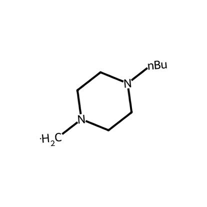 [CH2]N1CCN(CCCC)CC1